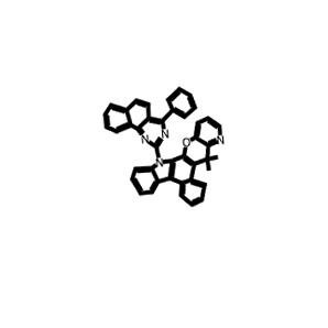 CC1(C)c2ncccc2Oc2c1c1ccccc1c1c3ccccc3n(-c3nc(-c4ccccc4)c4ccc5ccccc5c4n3)c21